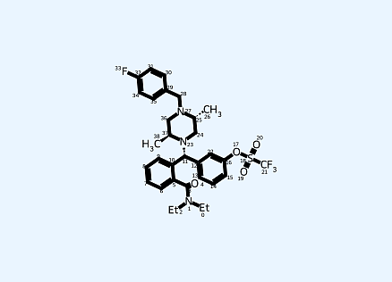 CCN(CC)C(=O)c1ccccc1[C@@H](c1cccc(OS(=O)(=O)C(F)(F)F)c1)N1C[C@@H](C)N(Cc2ccc(F)cc2)C[C@@H]1C